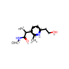 CCCC(C(=O)NC=O)c1ccc(CCO)nc1C